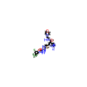 O=C(Nc1cc(F)cc(C(F)(F)F)c1)Nc1ncc(-c2cc(C(=O)NCCN3CCOCC3)c3cn[nH]c3n2)s1